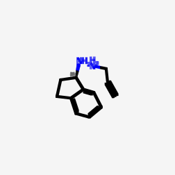 C#CCN.N[C@@H]1CCc2ccccc21